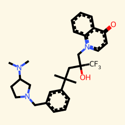 CN(C)C1CCN(Cc2cccc(C(C)(C)CC(O)(Cn3ccc(=O)c4ccccc43)C(F)(F)F)c2)C1